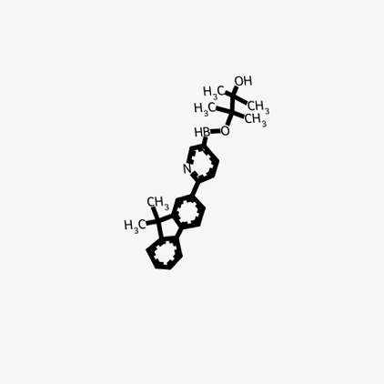 CC1(C)c2ccccc2-c2ccc(-c3ccc(BOC(C)(C)C(C)(C)O)cn3)cc21